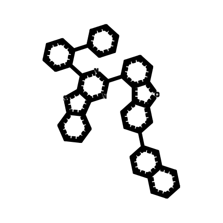 c1ccc(-c2ccccc2-c2nc(-c3cccc4oc5cc(-c6ccc7ccccc7c6)ccc5c34)nc3c2sc2ccccc23)cc1